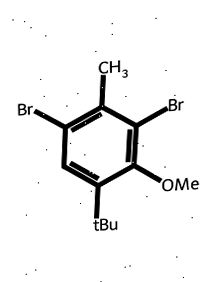 COc1c(C(C)(C)C)cc(Br)c(C)c1Br